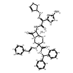 Nc1nc(C(=NOC2C=CCC2)C(=O)NC2C(=O)N3CC(SC=Cc4cccnc4)(C(=O)OC(c4ccccc4)c4ccccc4)CS[C@H]23)ns1